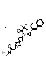 CC/C(=C\c1ccccc1)[C@@H]1C[C@H]1N(C(=O)C(F)(F)F)C1CC2(C1)CN(CC(N)=O)C2